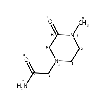 CN1CCN(CC(N)=O)CC1=O